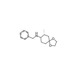 C[C@@H]1CC2(CCC1NCc1ccccc1)OCCO2